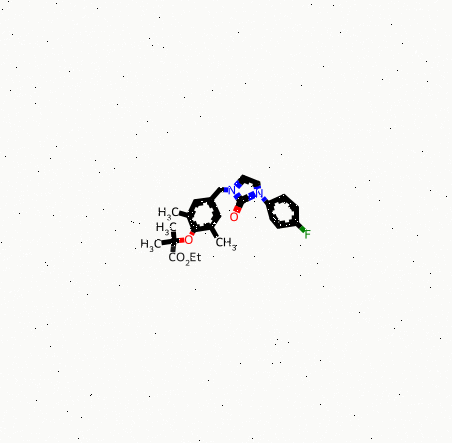 CCOC(=O)C(C)(C)Oc1c(C)cc(Cn2ccn(-c3ccc(F)cc3)c2=O)cc1C